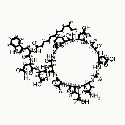 CCC(C)CCCCCCCCC(=O)NC(Cc1c[nH]c2ccccc12)C(=O)NC(CC(N)=O)C(=O)NC(CC(=O)O)C(=O)NC1C(=O)NCC(=O)NC(CCCN)C(=O)NC(CC(=O)O)C(=O)NC(C)C(=O)NC(CC(=O)O)C(=O)NCC(=O)NC(CC(N)=O)C(=O)NC(C(C)CC(=O)O)C(=O)NC(C(C)C)C(=O)OC1C